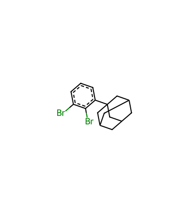 Brc1cccc(C23CC4CC(CC(C4)C2)C3)c1Br